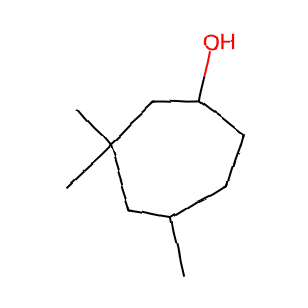 CC1CCC(O)CC(C)(C)C1